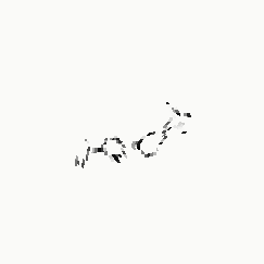 COC1(CN(C)C)CCCN(c2ccc(C(C)S)nc2)C1